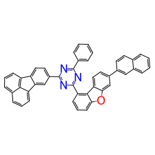 c1ccc(-c2nc(-c3ccc4c(c3)-c3cccc5cccc-4c35)nc(-c3cccc4oc5cc(-c6ccc7ccccc7c6)ccc5c34)n2)cc1